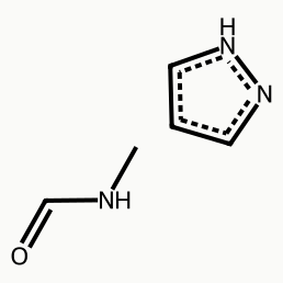 CNC=O.c1cn[nH]c1